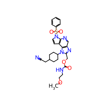 COCCNC(=O)OCc1nc2cnc3c(ccn3S(=O)(=O)c3ccccc3)c2n1C1CCC(CC#N)CC1